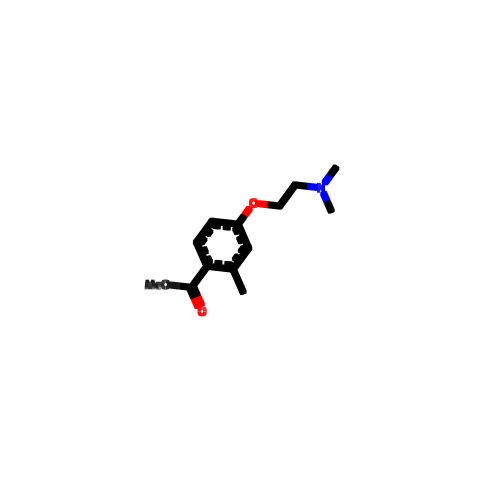 COC(=O)c1ccc(OCCN(C)C)cc1C